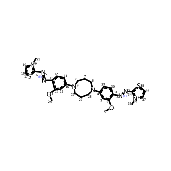 COc1cc(N2CCCN(c3ccc(/N=N/c4scc[n+]4C)c(OC)c3)CCC2)ccc1/N=N/c1scc[n+]1C